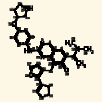 C=C(c1cc2cnc(Nc3ccc(OC4CCNC4)cc3)nc2n(Cc2cnoc2C2=CCCC2)c1=O)N(C)C